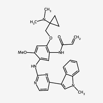 C=CC(=O)Nc1cc(Nc2nccc(-c3cn(C)c4ccccc34)n2)c(OC)cc1OCC1(N(C)C)CC1